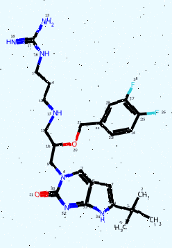 CC(C)(C)c1cc2cn(CC(CNCCCNC(=N)N)OCc3ccc(F)c(F)c3)c(=O)nc2[nH]1